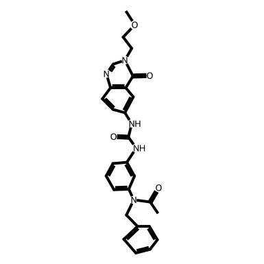 COCCn1cnc2ccc(NC(=O)Nc3cccc(N(Cc4ccccc4)C(C)=O)c3)cc2c1=O